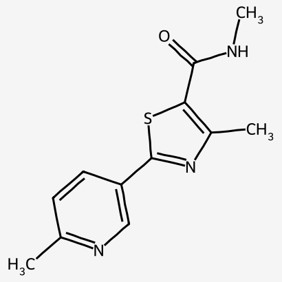 CNC(=O)c1sc(-c2ccc(C)nc2)nc1C